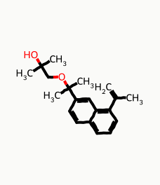 C=C(C)c1cccc2ccc(C(C)(C)OCC(C)(C)O)cc12